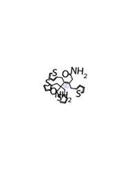 NC(=O)C/C(Cc1cccs1)=C(\Cc1cccs1)C(Cc1cccs1)(Cc1cccs1)C(N)=O